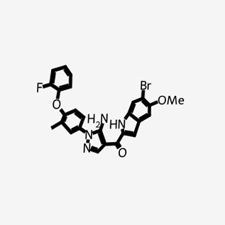 COc1cc2cc(C(=O)c3cnn(-c4ccc(Oc5ccccc5F)c(C)c4)c3N)[nH]c2cc1Br